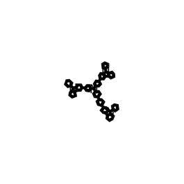 c1ccc(-n2c3ccccc3c3cc(-c4ccc(N(c5ccc(-c6ccc(-c7ccc8c9ccccc9n(-c9ccccc9)c8c7)cc6)cc5)c5ccc(-c6ccc7c(c6)c6ccccc6n7-c6ccccc6)cc5)cc4)ccc32)cc1